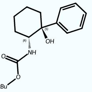 CC(C)(C)OC(=O)N[C@@H]1CCCC[C@]1(O)c1ccccc1